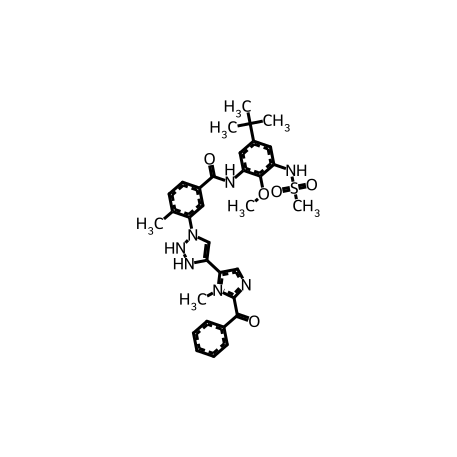 COc1c(NC(=O)c2ccc(C)c(N3C=C(c4cnc(C(=O)c5ccccc5)n4C)NN3)c2)cc(C(C)(C)C)cc1NS(C)(=O)=O